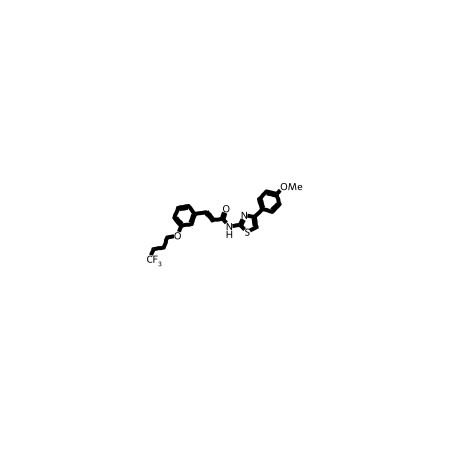 COc1ccc(-c2csc(NC(=O)C=Cc3cccc(OCCCC(F)(F)F)c3)n2)cc1